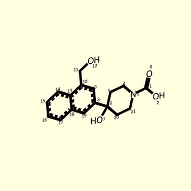 O=C(O)N1CCC(O)(c2cc(CO)c3ccccc3c2)CC1